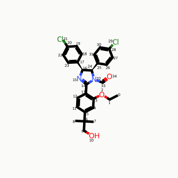 CCOc1cc(C(C)(C)CO)ccc1C1=N[C@@H](c2ccc(Cl)cc2)[C@@H](c2ccc(Cl)cc2)N1C=O